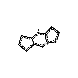 c1cc2cn3nccc3[nH]c-2c1